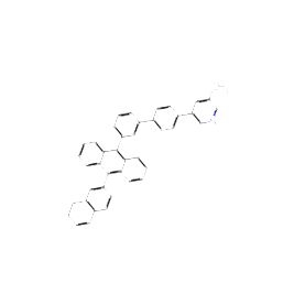 Cc1cncc(-c2ccc(-c3cccc(-c4c5ccccc5c(-c5ccc6c(c5)CCC=C6)c5ccccc45)c3)cc2)c1